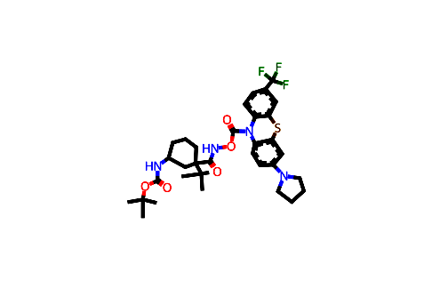 CC(C)(C)OC(=O)NC1CCCC(C(=O)NOC(=O)N2c3ccc(N4CCCC4)cc3Sc3cc(C(F)(F)F)ccc32)(C(C)(C)C)C1